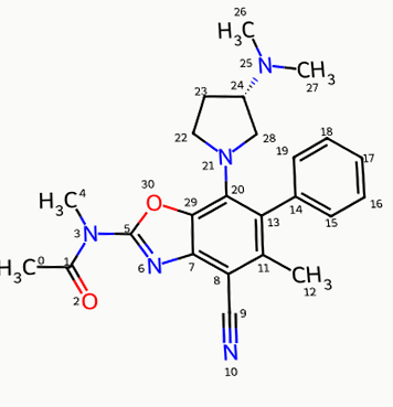 CC(=O)N(C)c1nc2c(C#N)c(C)c(-c3ccccc3)c(N3CC[C@H](N(C)C)C3)c2o1